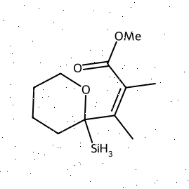 COC(=O)C(C)=C(C)C1([SiH3])CCCCO1